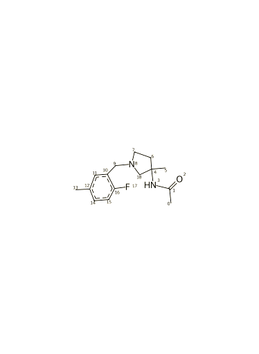 CC(=O)NC1(C)CCN(Cc2cc(C)ccc2F)C1